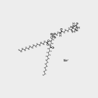 CCCCCCCCCCCCCCCC(=O)OC[C@H](COP(=O)([O-])OCCNC(=O)CCCC[C@@H]1SC[C@@H]2NC(=O)N[C@@H]21)OC(=O)CCCCCCCCCCCCCCC.[Na+]